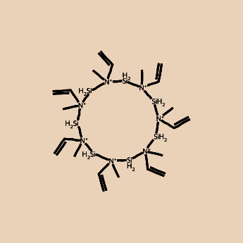 C=C[N+]1(C)[SiH2][N+](C)(C=C)[SiH2][N+](C)(C=C)[SiH2][N+](C)(C=C)[SiH2][N+](C)(C=C)[SiH2][N+](C)(C=C)[SiH2][N+](C)(C=C)[SiH2]1